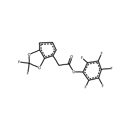 O=C(Cc1cccc2c1OC(F)(F)O2)Oc1c(F)c(F)c(F)c(F)c1F